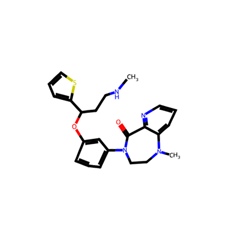 CNCCC(Oc1cccc(N2CCN(C)c3cccnc3C2=O)c1)c1cccs1